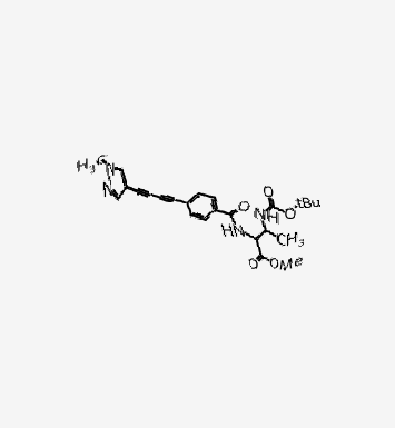 COC(=O)C(NC(=O)c1ccc(C#CC#Cc2cnn(C)c2)cc1)C(C)NC(=O)OC(C)(C)C